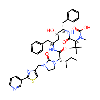 CCC(C)[C@@H](C(=O)N[C@@H](Cc1ccccc1)C[C@H](O)[C@H](Cc1ccccc1)NC(=O)[C@@H](N(C)C(=O)O)C(C)(C)C)N1CCN(Cc2csc(-c3cccnc3)n2)C1=O